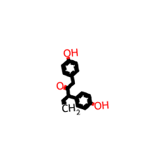 C=CC(C(=O)Cc1ccc(O)cc1)c1ccc(O)cc1